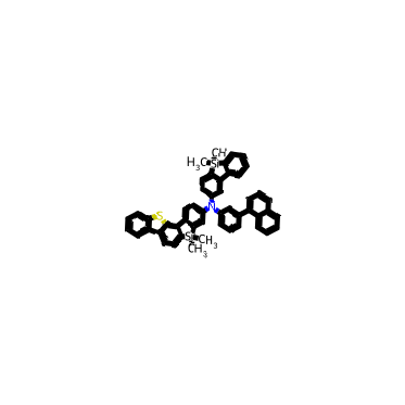 C[Si]1(C)c2ccccc2-c2cc(N(c3cccc(-c4cccc5ccccc45)c3)c3ccc4c(c3)[Si](C)(C)c3ccc5c(sc6ccccc65)c3-4)ccc21